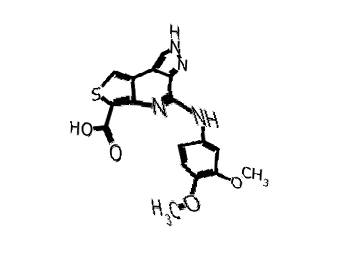 COc1ccc(Nc2nc3c(C(=O)O)scc3c3c[nH]nc23)cc1OC